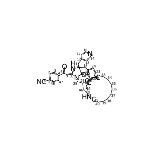 N#Cc1ccc(C(=O)C=C2NC(Cc3ccncc3)(Cc3ccncc3)C(=O)N2CC2CC3CCCCCCCCCCNC(CC3)C2)cc1